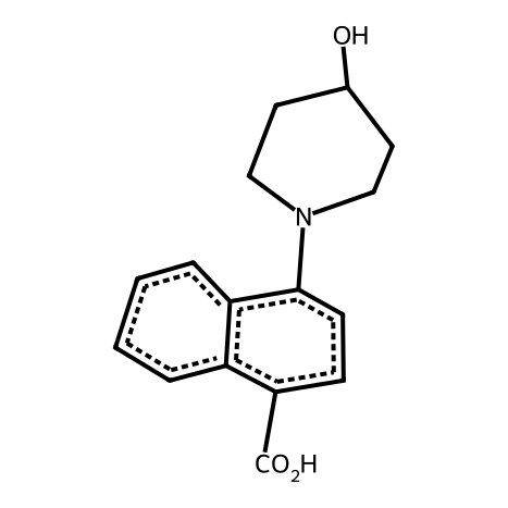 O=C(O)c1ccc(N2CCC(O)CC2)c2ccccc12